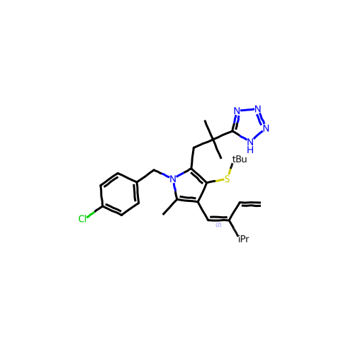 C=C/C(=C\c1c(SC(C)(C)C)c(CC(C)(C)c2nnn[nH]2)n(Cc2ccc(Cl)cc2)c1C)C(C)C